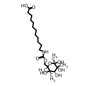 CC1(O)[C@H](O)[C@](C)(O)C(C)(COC(=O)NCCCCCCCCCCCC(=O)O)O[C@]1(C)O